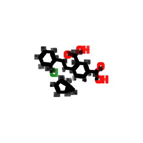 O=C(O)c1ccc(CCc2ccccc2Cl)c(C(=O)O)c1.c1cc2cc-2c1